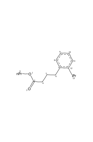 CCCOC(=O)CCCc1ccccc1C(C)C